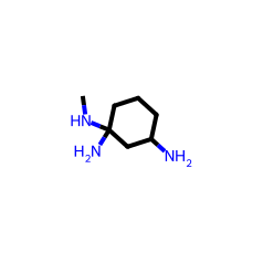 CNC1(N)CCCC(N)C1